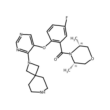 C[C@@H]1COC[C@H](C)N1C(=O)c1cc(F)ccc1Oc1cncnc1N1CC2(CCNCC2)C1